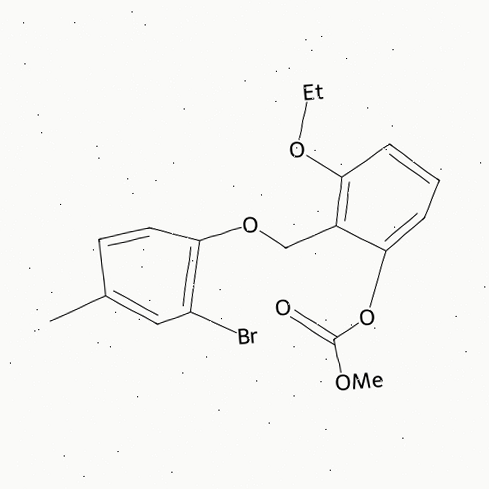 CCOc1cccc(OC(=O)OC)c1COc1ccc(C)cc1Br